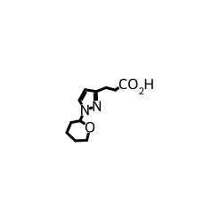 O=C(O)CCc1ccn(C2CCCCO2)n1